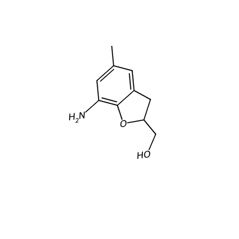 Cc1cc(N)c2c(c1)CC(CO)O2